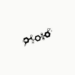 O=C(N[C@H]1CC[C@H](S(=O)(=O)c2cccc(C(F)(F)F)c2)CC1)c1ccnc(F)c1